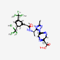 Cc1nc(C(C)NC(=O)c2cc(C(F)(F)F)cc(C(F)(F)F)c2)n(-c2cnc(C(=O)O)cn2)n1